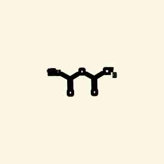 CC(C)(C)C(=O)OC(=O)C(F)(F)F